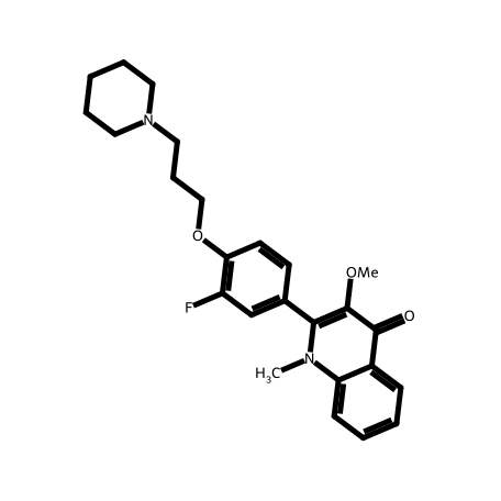 COc1c(-c2ccc(OCCCN3CCCCC3)c(F)c2)n(C)c2ccccc2c1=O